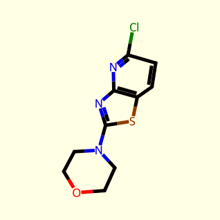 Clc1ccc2sc(N3CCOCC3)nc2n1